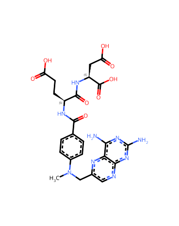 CN(Cc1cnc2nc(N)nc(N)c2n1)c1ccc(C(=O)N[C@@H](CCC(=O)O)C(=O)N[C@@H](CC(=O)O)C(=O)O)cc1